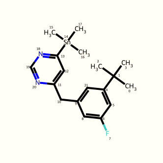 CC(C)(C)c1cc(F)cc(Cc2c[c]([Sn]([CH3])([CH3])[CH3])ncn2)c1